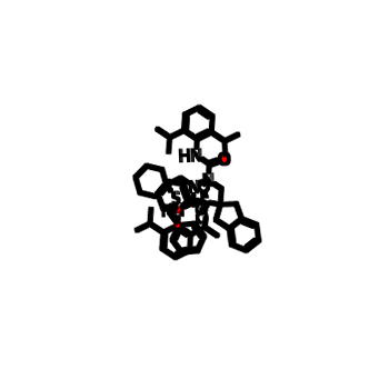 CC(C)c1cccc(C(C)C)c1NC(=O)N(CC1(SCc2ccccc2)CCCCC1)N(CC1(S(=O)(=O)c2ccccc2)Cc2ccccc2C1)C(=O)Nc1c(C(C)C)cccc1C(C)C